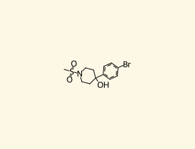 CS(=O)(=O)N1CCC(O)(c2ccc(Br)cc2)CC1